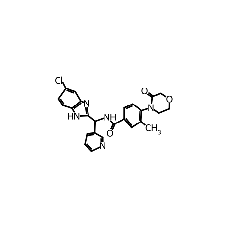 Cc1cc(C(=O)NC(c2cccnc2)c2nc3cc(Cl)ccc3[nH]2)ccc1N1CCOCC1=O